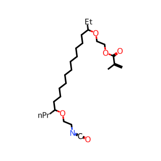 C=C(C)C(=O)OCCOC(CC)CCCCCCCCCCCC(CCC)OCCN=C=O